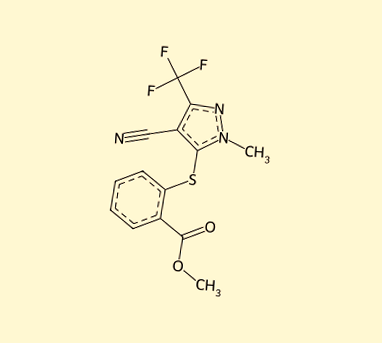 COC(=O)c1ccccc1Sc1c(C#N)c(C(F)(F)F)nn1C